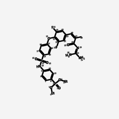 CCOP(=O)(OCC)c1ccc(NS(=O)(=O)c2ccc(Oc3c(F)cc(C=C(C)C(=O)N=C(N)N)cc3F)cc2)cc1